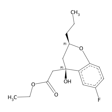 CCC[C@@H]1C[C@@](O)(CC(=O)OCC)c2cc(F)ccc2O1